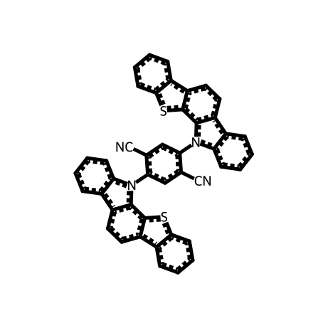 N#Cc1cc(-n2c3ccccc3c3ccc4c5ccccc5sc4c32)c(C#N)cc1-n1c2ccccc2c2ccc3c4ccccc4sc3c21